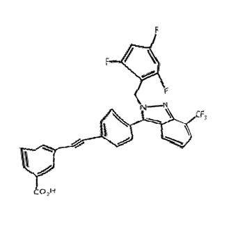 O=C(O)c1cccc(C#Cc2ccc(-c3c4cccc(C(F)(F)F)c4nn3Cc3c(F)cc(F)cc3F)cc2)c1